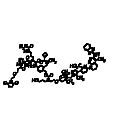 CCC(NC(=O)CCOCCN1C(=O)C=CC1=O)(C(=O)N[C@@H](CCCNC(N)=O)C(=O)Nc1ccc(COC(=O)N(CCCO)CCOC23CC4(C)CC(C)(C2)C(Cn2ncc(-c5ccc(N6CCCc7c6nnc(Nc6nc8ccccc8s6)c7C)nc5C(=O)O)c2C)(C4)C3)c(CN(C)C(=O)C2CCC2)c1)C(C)C